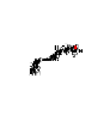 CC1(C)C(NC(=O)c2ccc(N3CCN(CCCCCOc4ccc5c(c4)C(=O)N(C4CCC(=O)NC4=O)C5=O)CC3=O)nc2)C(C)(C)C1Oc1ccc(C#N)c(Cl)c1